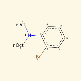 CCCCCCCCN(CCCCCCCC)c1ccccc1Br